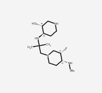 CC(C)(C)N[C@@H]1CCN(CC(C)(C)N[C@@H]2CCNC[C@H]2O)C[C@@H]1F